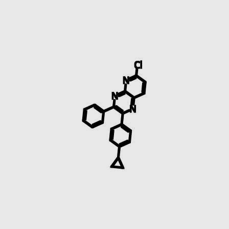 Clc1ccc2nc(-c3ccc(C4CC4)cc3)c(-c3ccccc3)nc2n1